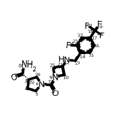 NC(=O)[C@H]1CCN(C(=O)N2CC(NCc3ccc(C(F)(F)F)cc3F)C2)C1